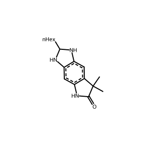 CCCCCCC1Nc2cc3c(cc2N1)C(C)(C)C(=O)N3